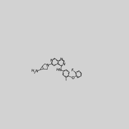 Cc1cc(Nc2ncnc3cnc(N4CC5C(N)C5C4)cc23)ccc1Oc1ccccc1F